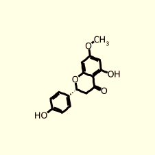 COc1cc(O)c2c(c1)O[C@@H](c1ccc(O)cc1)CC2=O